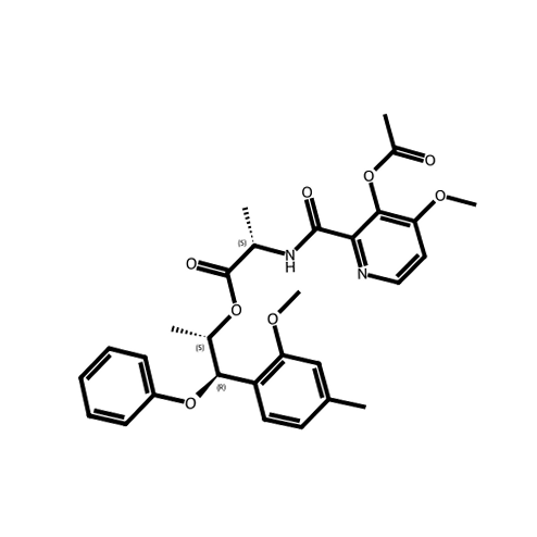 COc1cc(C)ccc1[C@@H](Oc1ccccc1)[C@H](C)OC(=O)[C@H](C)NC(=O)c1nccc(OC)c1OC(C)=O